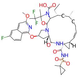 CC[C@@H]1C[C@H](C)CCC=C[C@@H]2C[C@@]2(C(=O)NS(=O)(=O)C2(C)CC2)NC(=O)[C@@H]2C[C@@H](Oc3nc(OC)cc4cc(F)ccc34)CN2C(=O)[C@H]1N(C(=O)O)C(C)(C)C(C)(F)F